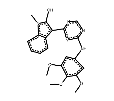 COc1cc(Nc2ncnc(-c3c(O)n(C)c4ccccc34)n2)cc(OC)c1OC